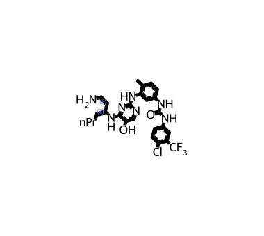 CCC/C=C(/C=C\N)Nc1nc(Nc2cc(NC(=O)Nc3ccc(Cl)c(C(F)(F)F)c3)ccc2C)ncc1O